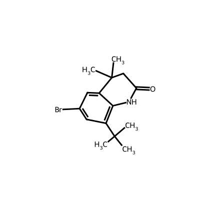 CC(C)(C)c1cc(Br)cc2c1NC(=O)CC2(C)C